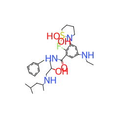 CCNc1cc(C(=O)N[C@@H](Cc2ccccc2)[C@@H](O)CNC(C)CC(C)C)c(F)c(N2CCCCS2(O)O)c1